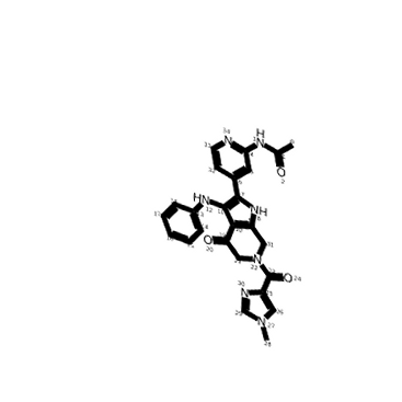 CC(=O)Nc1cc(-c2[nH]c3c(c2Nc2ccccc2)C(=O)CN(C(=O)c2cn(C)cn2)C3)ccn1